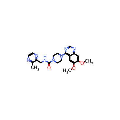 COc1cc2ncnc(N3CCN(C(=O)NCc4nccnc4C)CC3)c2cc1OC